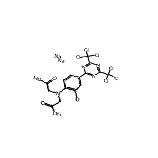 O=C(O)CN(CC(=O)O)c1ccc(-c2nc(C(Cl)(Cl)Cl)nc(C(Cl)(Cl)Cl)n2)cc1Br.[Na].[Na]